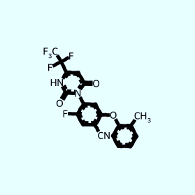 Cc1ccccc1Oc1cc(-n2c(=O)cc(C(F)(F)C(F)(F)F)[nH]c2=O)c(F)cc1C#N